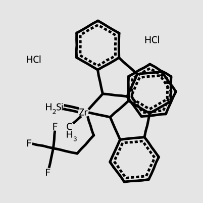 Cl.Cl.[CH3][Zr](=[SiH2])([CH2]CC(F)(F)F)([CH]1c2ccccc2-c2ccccc21)[CH]1c2ccccc2-c2ccccc21